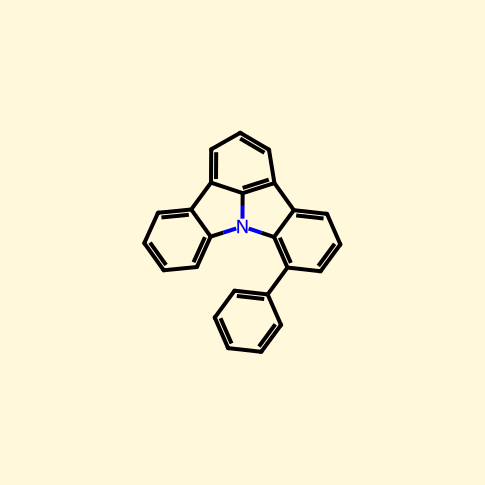 c1ccc(-c2cccc3c4cccc5c6ccccc6n(c23)c54)cc1